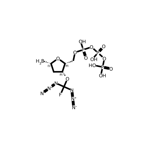 B[C@H]1C[C@@H](OC(F)(N=[N+]=[N-])N=[N+]=[N-])[C@@H](COP(=O)(O)OP(=O)(O)OP(=O)(O)O)O1